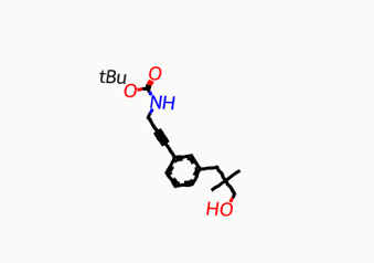 CC(C)(CO)Cc1cccc(C#CCNC(=O)OC(C)(C)C)c1